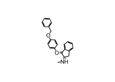 CN[C@H]1Cc2ccccc2[C@H]1Oc1ccc(OCc2ccccc2)cc1